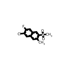 Cc1cc2cc(Cl)c(F)cc2cc1S(C)(=O)=O